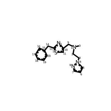 CN(CCn1cccn1)Cc1csc(Cc2ccccc2)n1